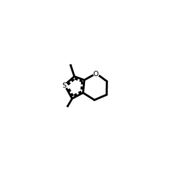 Cc1sc(C)c2c1CCCO2